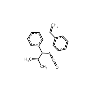 C=C(C)C(N=C=O)c1ccccc1.C=Cc1ccccc1